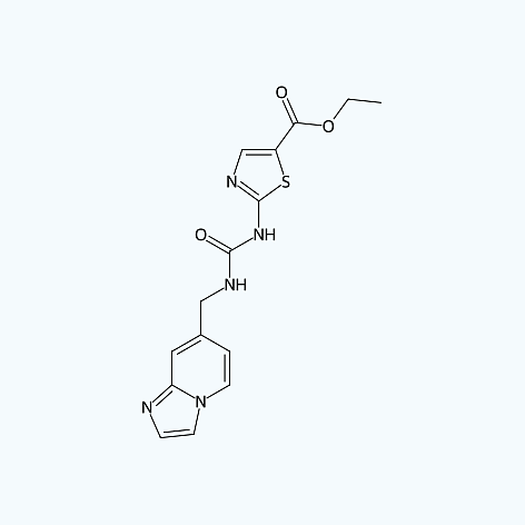 CCOC(=O)c1cnc(NC(=O)NCc2ccn3ccnc3c2)s1